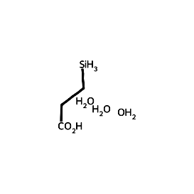 O.O.O.O=C(O)CC[SiH3]